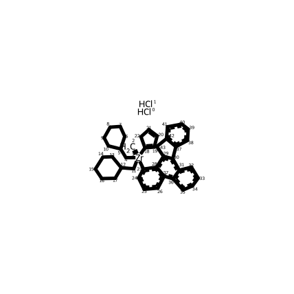 Cl.Cl.[CH2]=[Zr]([CH2]C1CCCCC1)([CH2]C1CCCCC1)([C]1=CC=CC1)[c]1cccc2c1c1c(c3ccccc32)-c2ccccc2C1